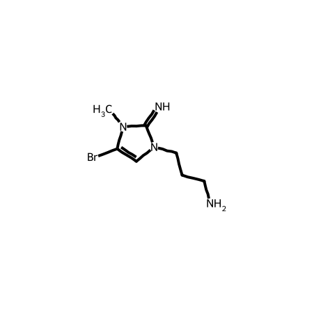 Cn1c(Br)cn(CCCN)c1=N